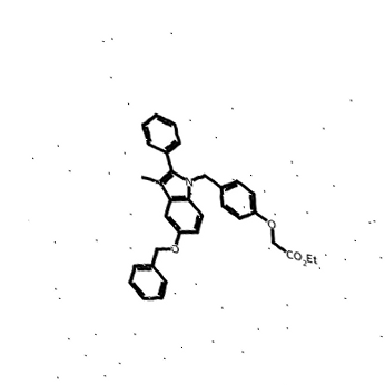 CCOC(=O)COc1ccc(Cn2c(-c3ccccc3)c(C)c3cc(OCc4ccccc4)ccc32)cc1